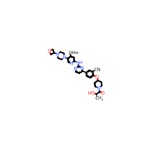 COc1cc(Nc2nccc(-c3ccc(OC4CCN(C(=O)[C@@H](C)O)CC4)c(C#N)c3)n2)ncc1N1CCN(C2COC2)CC1